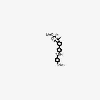 CCCCCCCCCc1ccc(C(=O)Nc2ccc(-c3ccc4c(c3)C(=O)N(C(CC)C(=O)OC)C4C)cc2)cc1